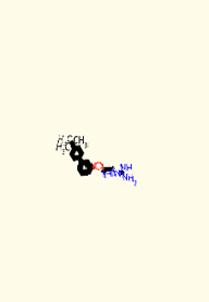 CC(C)(C)c1ccc(-c2cccc(OCCNC(=N)N)c2)cc1